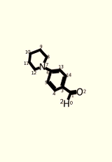 [2H]C(=O)c1ccc(N2CCCCC2)cc1